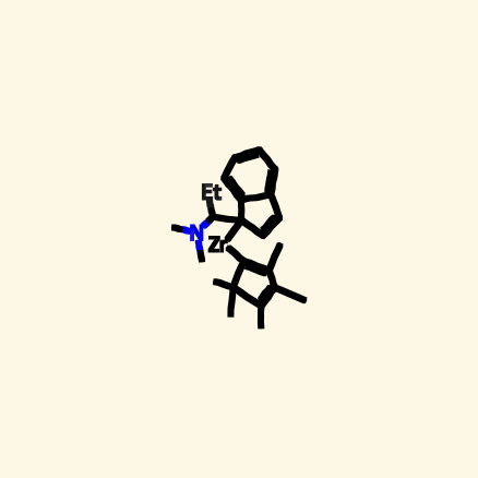 CCC(N(C)C)[C]1([Zr][C]2=C(C)C(C)=C(C)C2(C)C)C=Cc2ccccc21